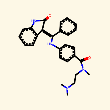 CN(C)CCN(C)C(=O)c1ccc(NC(=C2C(=O)Nc3ccccc32)c2ccccc2)cc1